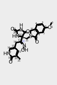 COc1ccc2c(c1)C(=O)N(C[C@@]1(/C(Cc3c[nH]c(=O)c(C)c3)=N/O)NC(=O)NC1=O)C2